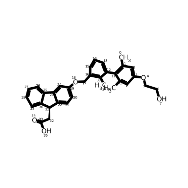 Cc1cc(OCCO)cc(C)c1-c1cccc(COc2ccc3c(c2)-c2ccccc2[C@@H]3CC(=O)O)c1C